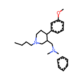 CCCCN1CCC(c2cccc(OC)c2)C(CN(C)C)C1.c1ccccc1